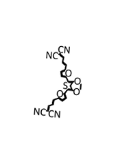 N#CC(C#N)=C/C=C/c1ccc(C2=C3CC(=C(c4ccc(/C=C/C=C(C#N)C#N)o4)S2)OCCO3)o1